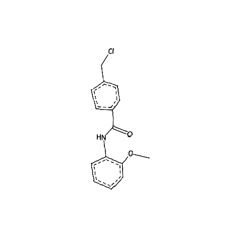 COc1ccccc1NC(=O)c1ccc(CCl)cc1